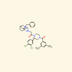 Cc1cc(C)cc(C(=O)N2CCN(C(=O)CNCC3(Cc4ccccc4)CC4CCC3NC4)[C@H](c3ccc(Cl)c(Cl)c3)C2)c1